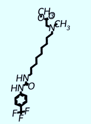 COC(=O)CN(C)CCCCCCCCCNC(=O)Nc1ccc(C(F)(F)F)cc1